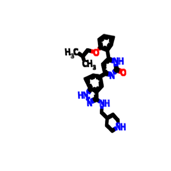 CC(C)COc1ccccc1-c1cc(-c2ccc3[nH]nc(NCC4CCNCC4)c3c2)nc(=O)[nH]1